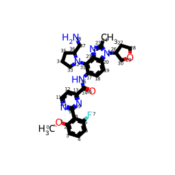 COc1cccc(F)c1-c1nccc(C(=O)Nc2ccc3c(nc(C)n3C3CCOC3)c2N2CCCC2CN)n1